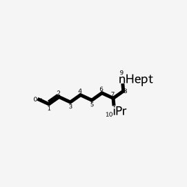 [CH2]C=CCCCCC(CCCCCCC[CH2])C(C)C